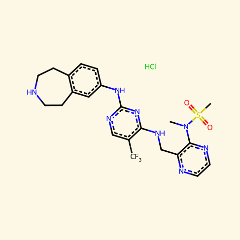 CN(c1nccnc1CNc1nc(Nc2ccc3c(c2)CCNCC3)ncc1C(F)(F)F)S(C)(=O)=O.Cl